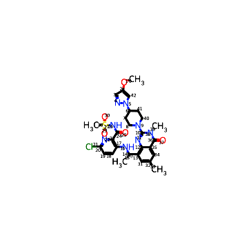 COc1cnn(C2CCN(c3nc4c([C@@H](C)Nc5ccc(Cl)nc5C(=O)NS(C)(=O)=O)cc(C)cc4c(=O)n3C)CC2)c1